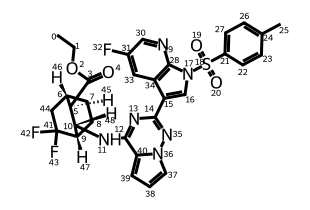 CCOC(=O)[C@@H]1[C@H]2CC[C@@H]([C@H]1Nc1nc(-c3cn(S(=O)(=O)c4ccc(C)cc4)c4ncc(F)cc34)nn3cccc13)C(F)(F)C2